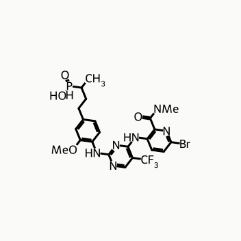 CNC(=O)c1nc(Br)ccc1Nc1nc(Nc2ccc(CCC(C)[PH](=O)O)cc2OC)ncc1C(F)(F)F